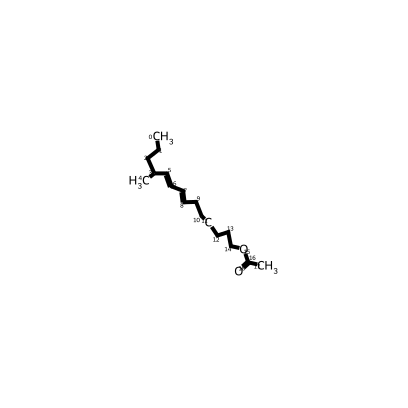 CCCC(C)C=CC=CCCCCCCOC(C)=O